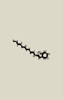 CCCCCCCCCCCC1=Cc2ccccc2[N]1